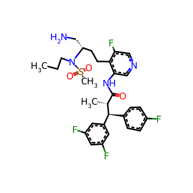 CCCN([C@H](CN)CCc1c(F)cncc1NC(=O)[C@@H](C)[C@@H](c1ccc(F)cc1)c1cc(F)cc(F)c1)S(C)(=O)=O